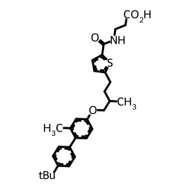 Cc1cc(OCC(C)CCc2ccc(C(=O)NCCC(=O)O)s2)ccc1-c1ccc(C(C)(C)C)cc1